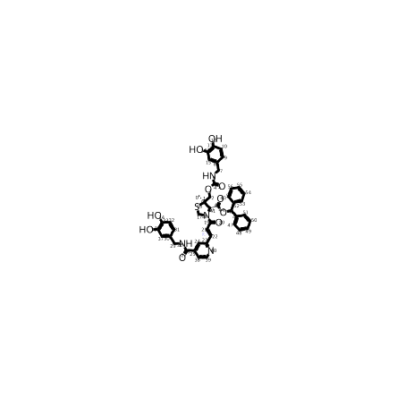 C[C@@]1(COC(=O)NCc2ccc(O)c(O)c2)SCN(C(=O)/C=C/c2cc(C(=O)NCc3ccc(O)c(O)c3)ccn2)[C@H]1C(=O)OC(c1ccccc1)c1ccccc1